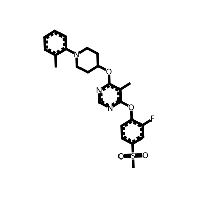 Cc1ccccc1N1CCC(Oc2ncnc(Oc3ccc(S(C)(=O)=O)cc3F)c2C)CC1